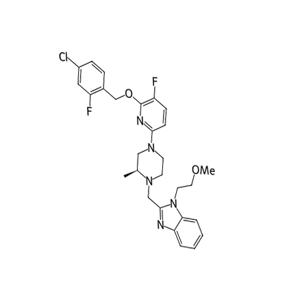 COCCn1c(CN2CCN(c3ccc(F)c(OCc4ccc(Cl)cc4F)n3)C[C@@H]2C)nc2ccccc21